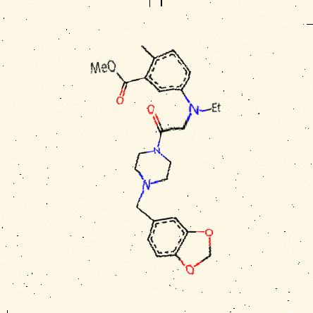 CCN(CC(=O)N1CCN(Cc2ccc3c(c2)OCO3)CC1)c1ccc(C)c(C(=O)OC)c1